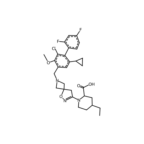 CCC1CCN(C2=NOC3(C2)CN(Cc2cc(C4CC4)c(-c4ccc(F)cc4F)c(Cl)c2OC)C3)C(C(=O)O)C1